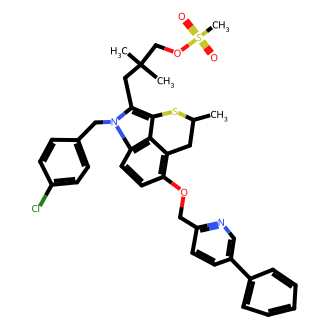 CC1Cc2c(OCc3ccc(-c4ccccc4)cn3)ccc3c2c(c(CC(C)(C)COS(C)(=O)=O)n3Cc2ccc(Cl)cc2)S1